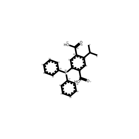 CC(C)c1cc(C(=O)O)c(P(c2ccccc2)c2ccccc2)cc1C(=O)O